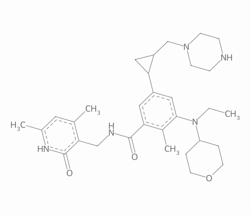 CCN(c1cc(C2CC2CN2CCNCC2)cc(C(=O)NCc2c(C)cc(C)[nH]c2=O)c1C)C1CCOCC1